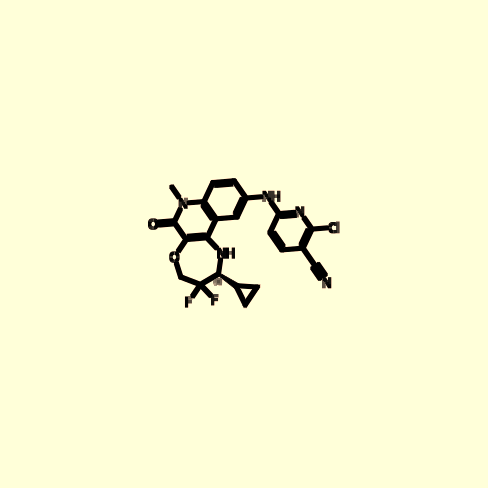 Cn1c(=O)c2c(c3cc(Nc4ccc(C#N)c(Cl)n4)ccc31)N[C@@H](C1CC1)C(F)(F)CO2